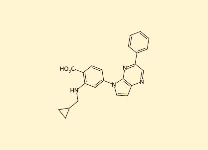 O=C(O)c1ccc(-n2ccc3ncc(-c4ccccc4)nc32)cc1NCC1CC1